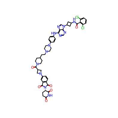 O=C1CC[C@H](N2C(=O)c3ccc(N4CC(C(=O)N5CCC(CCN6CCN(c7ccc(Nc8ncnc9c8ncn9C8CC(NC(=O)c9c(Cl)cccc9Cl)C8)cc7)CC6)CC5)C4)cc3C2=O)C(=O)N1